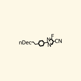 CCCCCCCCCCCCc1ccc(-c2ncc(C#N)c(F)n2)cc1